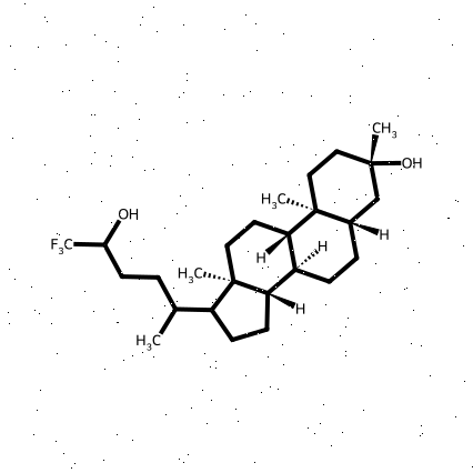 CC(CCC(O)C(F)(F)F)C1CC[C@H]2[C@@H]3CC[C@H]4C[C@@](C)(O)CC[C@]4(C)[C@H]3CC[C@]12C